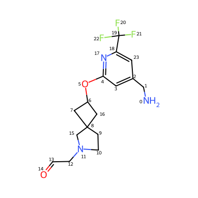 NCc1cc(OC2CC3(CCN(CC=O)C3)C2)nc(C(F)(F)F)c1